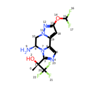 C[C@@](O)(c1ncc2n1[C@@H](N)Cn1nc(OC(F)F)cc1-2)C(F)(F)F